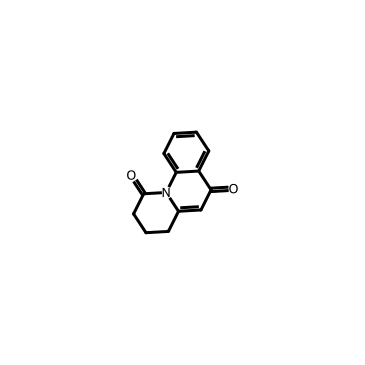 O=C1CCCc2cc(=O)c3ccccc3n21